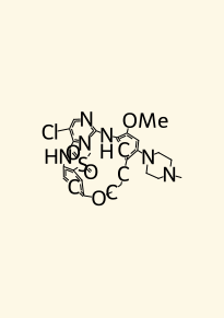 COc1cc(N2CCN(C)CC2)c2cc1Nc1ncc(Cl)c(n1)Nc1ccc(cc1S(C)(=O)=O)OCCC2